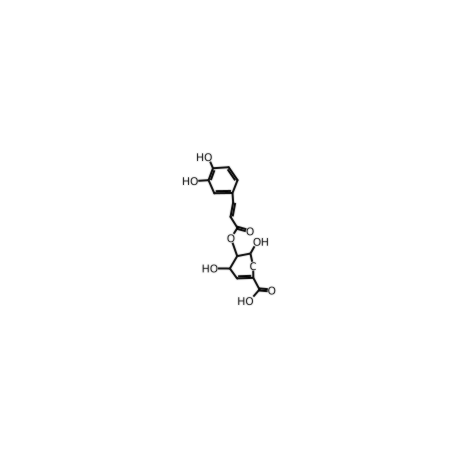 O=C(C=Cc1ccc(O)c(O)c1)OC1C(O)C=C(C(=O)O)CC1O